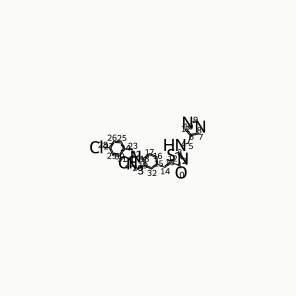 O=C1N=C(NCc2cncnc2)S/C1=C\c1ccc2c(cnn2Cc2ccc(Cl)cc2C(F)(F)F)c1